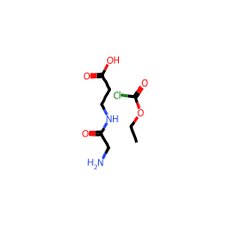 CCOC(=O)Cl.NCC(=O)NCCC(=O)O